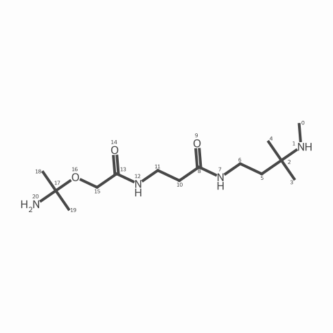 CNC(C)(C)CCNC(=O)CCNC(=O)COC(C)(C)N